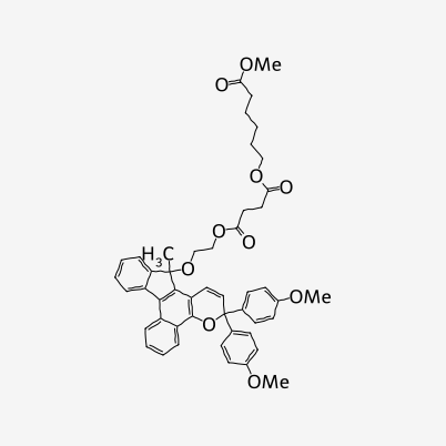 COC(=O)CCCCCOC(=O)CCC(=O)OCCOC1(C)c2ccccc2-c2c1c1c(c3ccccc23)OC(c2ccc(OC)cc2)(c2ccc(OC)cc2)C=C1